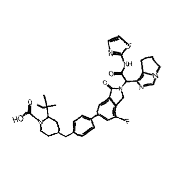 CC(C)(C)C1CC(Cc2ccc(-c3cc(F)c4c(c3)C(=O)N(C(C(=O)Nc3nccs3)c3ncn5c3CCC5)C4)cc2)CCN1C(=O)O